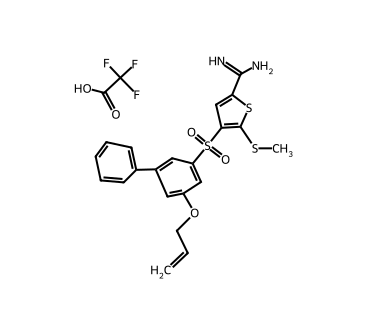 C=CCOc1cc(-c2ccccc2)cc(S(=O)(=O)c2cc(C(=N)N)sc2SC)c1.O=C(O)C(F)(F)F